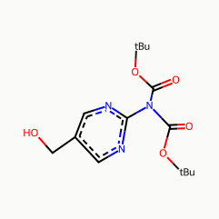 CC(C)(C)OC(=O)N(C(=O)OC(C)(C)C)c1ncc(CO)cn1